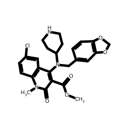 COC(=O)c1c(N(Cc2ccc3c(c2)OCO3)C2CCNCC2)c2cc(Cl)ccc2n(C)c1=O